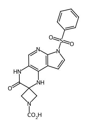 O=C(O)N1CC2(C1)Nc1c(cnc3c1ccn3S(=O)(=O)c1ccccc1)NC2=O